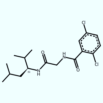 CC(C)C[C@H](NC(=O)CNC(=O)c1cc(Cl)ccc1Cl)C(C)C